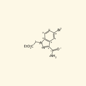 CCOC(=O)Cn1nc(C(N)=O)c2cc(Br)ccc21